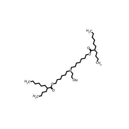 CCCCCCC(CCCC)C(=O)OCCCCCCCN(CCO)CCCCCCOC(=O)C(CCCC)CCCCCC